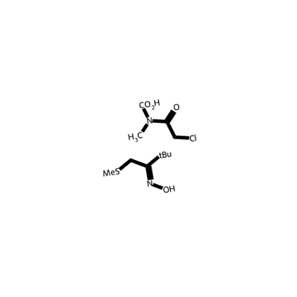 CN(C(=O)O)C(=O)CCl.CSCC(=NO)C(C)(C)C